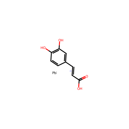 O=C(O)/C=C/c1ccc(O)c(O)c1.[Pb]